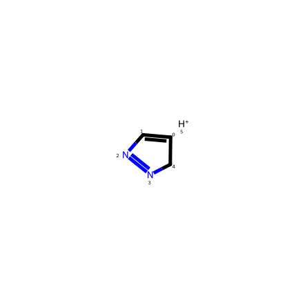 C1=CN=NC1.[H+]